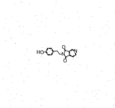 O=C1c2ccncc2C(=O)N1CCc1ccc(O)cc1